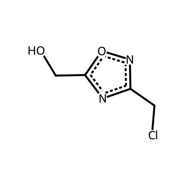 OCc1nc(CCl)no1